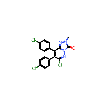 Cn1nc2c(-c3ccc(Cl)cc3)c(-c3ccc(Cl)cc3)c(Cl)nn2c1=O